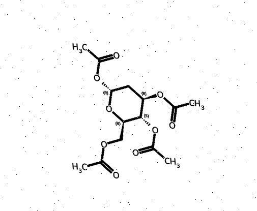 CC(=O)OC[C@H]1O[C@H](OC(C)=O)C[C@@H](OC(C)=O)[C@@H]1OC(C)=O